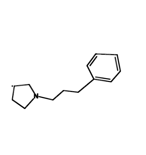 [CH]1CCN(CCCc2ccccc2)C1